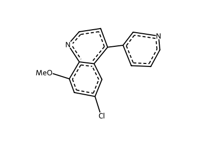 COc1cc(Cl)cc2c(-c3cccnc3)ccnc12